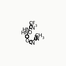 Cn1cc(-c2cc(Oc3ccc(NC(=O)Nc4cncc(C(F)(F)F)c4)cc3)ccn2)cn1